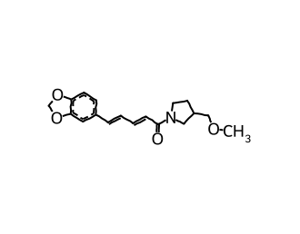 COCC1CCN(C(=O)/C=C/C=C/c2ccc3c(c2)OCO3)C1